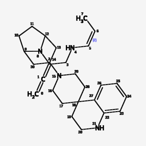 C=C=C(CN/C=C\C)N1C2CCC1CC(N1CCC3(CCNc4ccccc43)CC1)C2